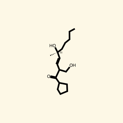 CCCCC[C@](C)(O)C=CC(CO)C(=O)C1CCCC1